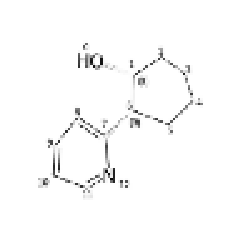 O[C@@H]1CCCC[C@@H]1c1ccccn1